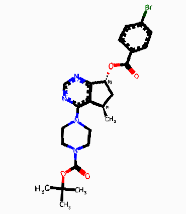 C[C@@H]1C[C@@H](OC(=O)c2ccc(Br)cc2)c2ncnc(N3CCN(C(=O)OC(C)(C)C)CC3)c21